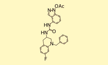 CC(=O)On1ncc2c(NC(=O)NC3Cc4ccc(F)cc4N(Cc4ccccc4)C3)cccc21